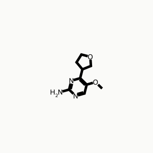 COc1cnc(N)nc1C1CCOC1